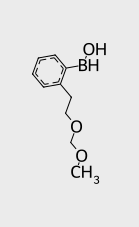 COCOCCc1ccccc1BO